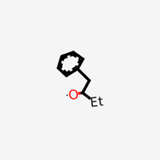 CCC([O])Cc1ccccc1